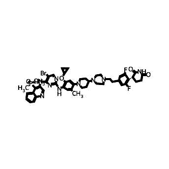 Cc1cc(Nc2ncc(Br)c(Nc3cnc4ccccc4c3P(C)(C)=O)n2)c(OC2CC2)cc1N1CCC(N2CCN(CCc3cc(F)c([C@H]4CCC(=O)NC4=O)c(F)c3)CC2)CC1